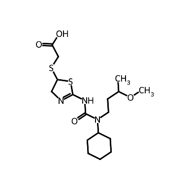 COC(C)CCN(C(=O)NC1=NCC(SCC(=O)O)S1)C1CCCCC1